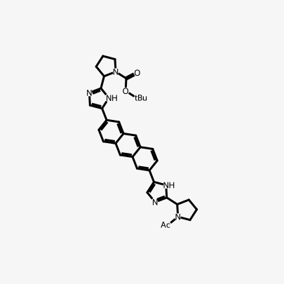 CC(=O)N1CCCC1c1ncc(-c2ccc3cc4cc(-c5cnc(C6CCCN6C(=O)OC(C)(C)C)[nH]5)ccc4cc3c2)[nH]1